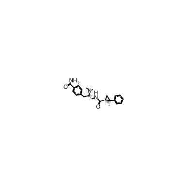 CN(C)[C@H](CNC(=O)[C@H]1C[C@@]1(C)c1ccccc1)Cc1ccc(C(N)=O)cc1